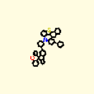 c1ccc(-c2ccc(N(c3cccc(-c4ccc5c(c4)C4(c6ccccc6Oc6ccccc64)c4ccccc4-5)c3)c3cccc4sc5c6ccccc6ccc5c34)cc2)cc1